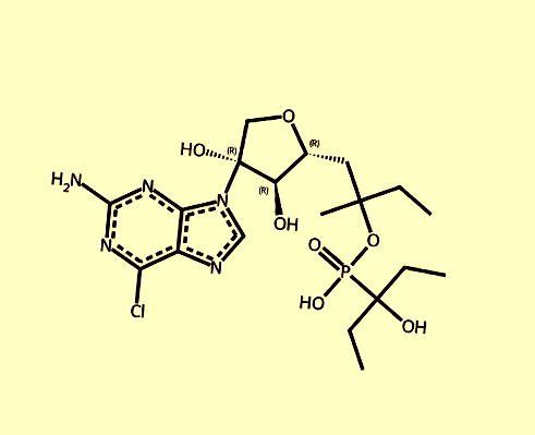 CCC(C)(C[C@H]1OC[C@](O)(n2cnc3c(Cl)nc(N)nc32)[C@@H]1O)OP(=O)(O)C(O)(CC)CC